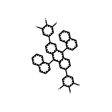 Fc1cc(-c2ccc3c(-c4cccc5ccccc45)c4cc(-c5cc(F)c(F)c(F)c5)ccc4c(-c4cccc5ccccc45)c3c2)cc(F)c1F